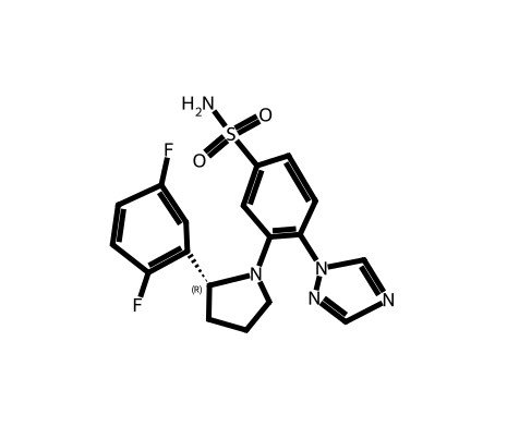 NS(=O)(=O)c1ccc(-n2cncn2)c(N2CCC[C@@H]2c2cc(F)ccc2F)c1